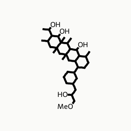 COCC(O)CC1CCCC(C2CCC(C)C3C(O)C4C(C)C5(C)C(O)C(C(C)O)C(C)CC5(C)CC4(C)CC23)C1